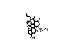 C=CCN(CC=C)/C(C)=C1/C(=O)O[C@H](COC)[C@@]2(C)C1=C(O)C(=O)C1=C2[C@H](OC(C)=O)C[C@]2(C)C(O)CC[C@@H]12